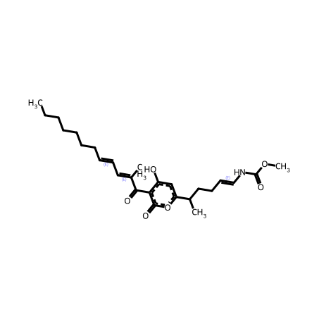 CCCCCCC/C=C/C=C(\C)C(=O)c1c(O)cc(C(C)CC/C=C/NC(=O)OC)oc1=O